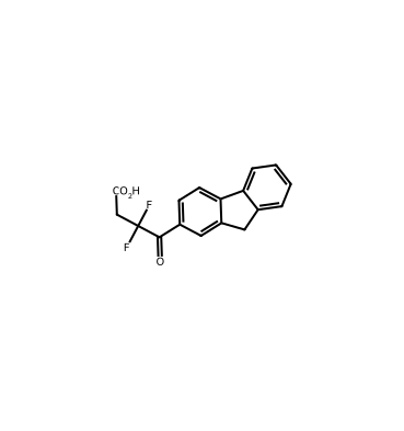 O=C(O)CC(F)(F)C(=O)c1ccc2c(c1)Cc1ccccc1-2